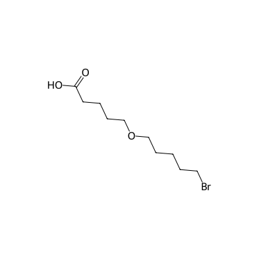 O=C(O)CCCCOCCCCCBr